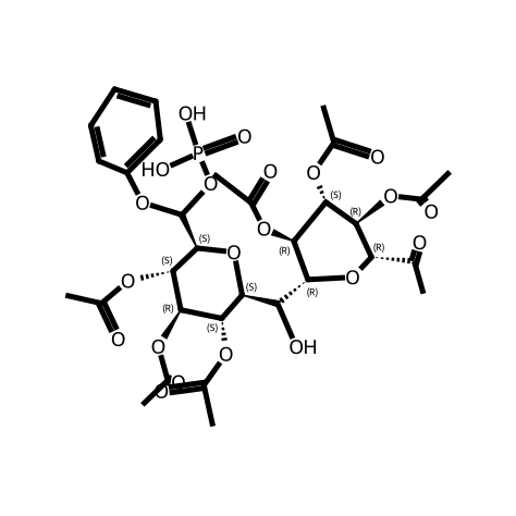 CC(=O)O[C@@H]1[C@@H](OC(C)=O)[C@H](C(C)=O)O[C@H](C(O)[C@@H]2O[C@H](C(Oc3ccccc3)OP(=O)(O)O)[C@@H](OC(C)=O)[C@H](OC(C)=O)[C@H]2OC(C)=O)[C@H]1OC(C)=O